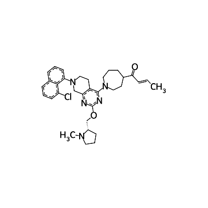 C/C=C/C(=O)C1CCCN(c2nc(OC[C@@H]3CCCN3C)nc3c2CCN(c2cccc4cccc(Cl)c24)C3)CC1